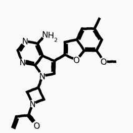 C=CC(=O)N1CC(n2cc(-c3cc4cc(C)cc(OC)c4o3)c3c(N)ncnc32)C1